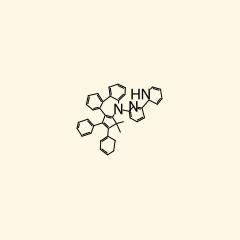 CC1(C)C(C2=CC=CCC2)=C(c2ccccc2)C2=C1N(c1cccc(C3C=CC=CN3)n1)c1ccccc1-c1ccccc12